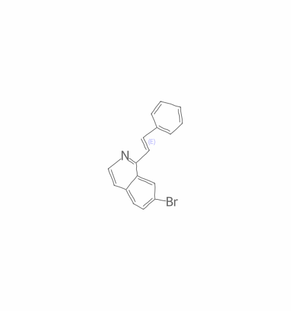 Brc1ccc2ccnc(/C=C/c3ccccc3)c2c1